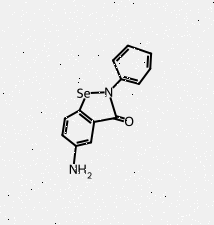 Nc1ccc2[se]n(-c3ccccc3)c(=O)c2c1